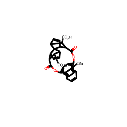 CC(C)(C)c1cccc2c3c4ccccc4c(c12)OC(=O)C1C(C(=O)O)C2C=CC1C21C2C=CC1C(C(=O)O3)C2C(=O)O